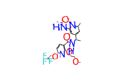 COCCOc1nc(OCC(F)(F)F)ccc1C(=O)NC(C)c1cc(C)nc(NC(C)=O)c1